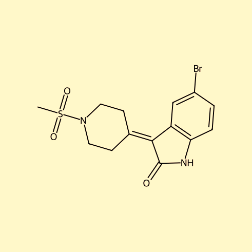 CS(=O)(=O)N1CCC(=C2C(=O)Nc3ccc(Br)cc32)CC1